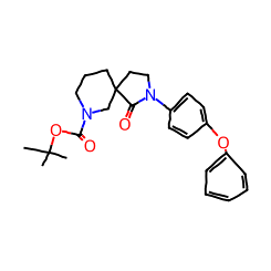 CC(C)(C)OC(=O)N1CCCC2(CCN(c3ccc(Oc4ccccc4)cc3)C2=O)C1